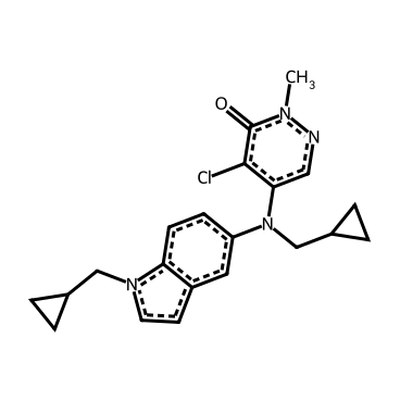 Cn1ncc(N(CC2CC2)c2ccc3c(ccn3CC3CC3)c2)c(Cl)c1=O